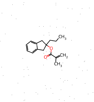 C=C(C)C(=O)OC1(CCC)Cc2ccccc2C1